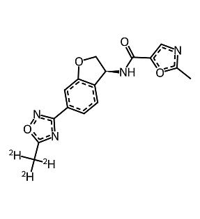 [2H]C([2H])([2H])c1nc(-c2ccc3c(c2)OC[C@H]3NC(=O)c2cnc(C)o2)no1